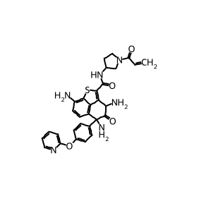 C=CC(=O)N1CCC(NC(=O)c2sc3c(N)ccc4c3c2C(N)C(=O)C4(N)c2ccc(Oc3ccccn3)cc2)C1